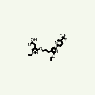 CCOc1nn(-c2ccc(C(F)(F)F)cn2)cc1CCCOc1nn(CC)cc1CC(=O)O